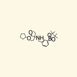 CCC(CC)(NCc1cccc(B2OC(C)(C)C(C)(C)O2)c1)C(=O)OC1CCCC1